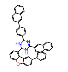 c1ccc(-c2ccc3oc4cccc(C5NC(c6ccc7ccccc7c6)=NC(c6ccc(-c7ccc8ccccc8c7)cc6)N5)c4c3c2)cc1